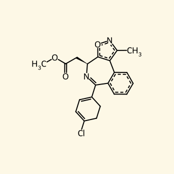 COC(=O)C[C@@H]1N=C(C2=CC=C(Cl)CC2)c2ccccc2-c2c(C)noc21